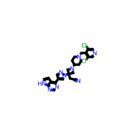 N#CCC1(n2cc(-c3ncnc4[nH]ccc34)cn2)CN(C2CCN(Cc3c(Cl)cncc3Cl)CC2)C1